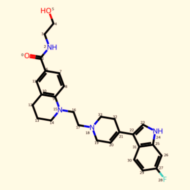 O=C(NCCO)c1ccc2c(c1)CCCN2CCN1CC=C(c2c[nH]c3cc(F)ccc23)CC1